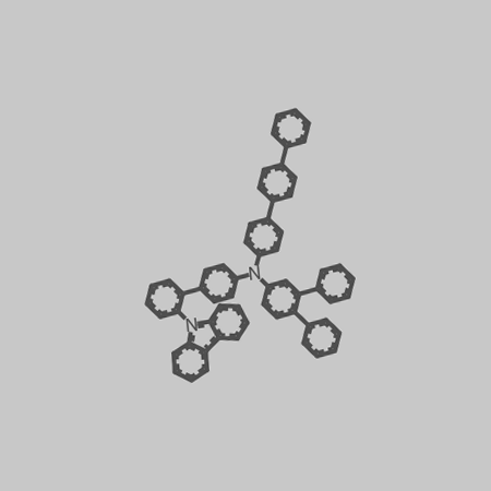 c1ccc(-c2ccc(-c3ccc(N(c4ccc(-c5ccccc5-n5c6ccccc6c6ccccc65)cc4)c4ccc(-c5ccccc5)c(-c5ccccc5)c4)cc3)cc2)cc1